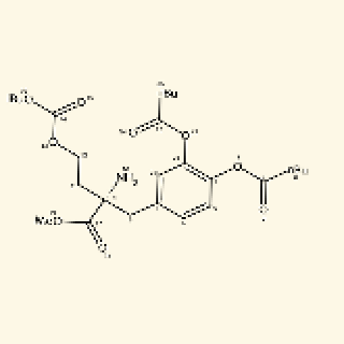 CCCCC(=O)Oc1ccc(C[C@](N)(CCOC(=O)OCC(C)C)C(=O)OC)cc1OC(=O)CCCC